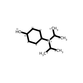 CC(C)N(C(C)C)C1CCC(O)CC1